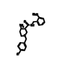 COc1ccccc1CNC(=O)C1=C(N)CCN(Cc2ccc(Cl)cc2)C1